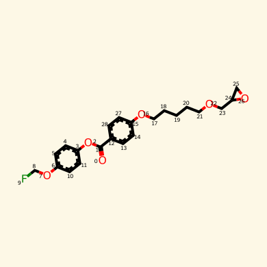 O=C(Oc1ccc(OCF)cc1)c1ccc(OCCCCCOCC2CO2)cc1